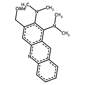 COCc1cc2nc3ccccc3cc2c(N(C)C)c1N(C)C